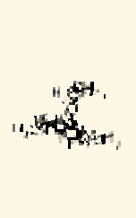 CSc1ncc(C(F)(F)F)c(-c2cn(COCC[Si](C)(C)C)c3nc(-c4nc(C)ns4)ccc23)n1